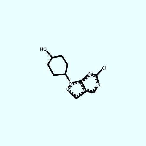 OC1CCC(n2ncc3cnc(Cl)nc32)CC1